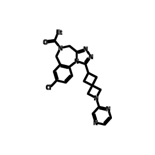 CCC(=O)N1Cc2cc(Cl)ccc2-n2c(nnc2C2CC3(C2)CN(c2cnccn2)C3)C1